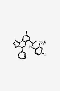 Cc1cc(C(C)Nc2ccc(Cl)nc2C(=O)O)c2nc(-c3ccccc3)n3ncnc3c2c1